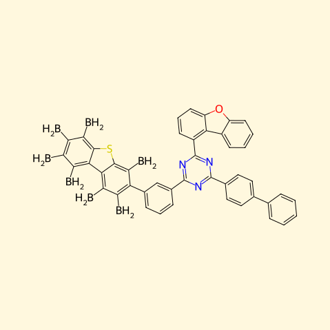 Bc1c(B)c(B)c2c(sc3c(B)c(-c4cccc(-c5nc(-c6ccc(-c7ccccc7)cc6)nc(-c6cccc7oc8ccccc8c67)n5)c4)c(B)c(B)c32)c1B